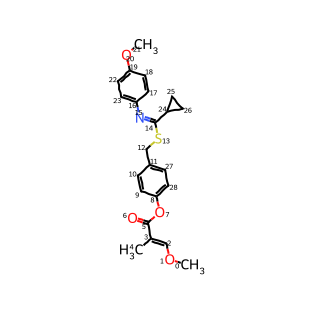 COC=C(C)C(=O)Oc1ccc(CSC(=Nc2ccc(OC)cc2)C2CC2)cc1